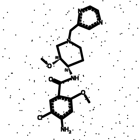 COc1cc(N)c(Cl)cc1C(=O)N[C@H]1CCN(Cc2cnccn2)C[C@H]1OC